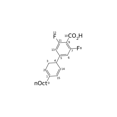 CCCCCCCCC1=CCC(c2cc(F)c(C(=O)O)c(F)c2)C=C1